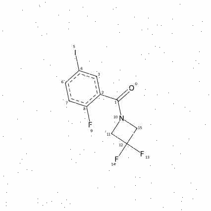 O=C(c1cc(I)ccc1F)N1CC(F)(F)C1